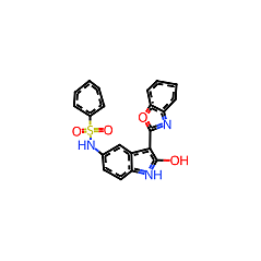 O=S(=O)(Nc1ccc2[nH]c(O)c(-c3nc4ccccc4o3)c2c1)c1ccccc1